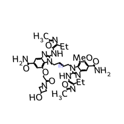 CCc1nc(C)oc1Nc1nc2cc(C(N)=O)cc(OC)c2n1C/C=C/Cn1c(Nc2oc(C)nc2CC)nc2cc(C(N)=O)cc(OCC(=O)N3CC(O)C3)c21